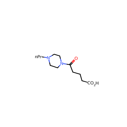 CCCN1CCN(C(=O)CCCC(=O)O)CC1